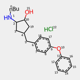 CCCCNC1CC(Cc2ccc(Oc3ccccc3)cc2)CC1O.Cl